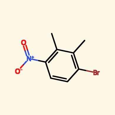 Cc1c(Br)ccc([N+](=O)[O-])c1C